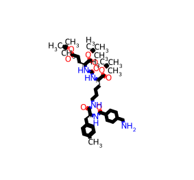 Cc1ccc(C[C@H](NC(=O)C2CCC(CN)CC2)C(=O)NCCCC[C@H](NC(=O)N[C@@H](CCC(=O)OC(C)(C)C)C(=O)OC(C)(C)C)C(=O)OC(C)(C)C)cc1